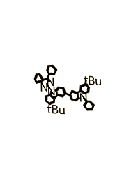 CC(C)(C)c1ccc2c(c1)c1cc(-c3ccc4c(c3)c3cc(C(C)(C)C)ccc3n4-c3nc(-c4ccccc4)c4ccccc4n3)ccc1n2-c1ccccc1